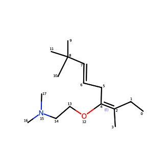 CC/C(C)=C(\CC=CC(C)(C)C)OCCN(C)C